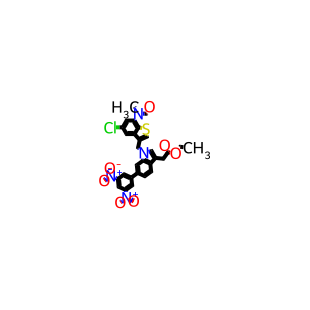 CCOC(=O)Cc1cn(Cc2csc3c(N(C)C=O)cc(Cl)cc23)c2cc(-c3cc([N+](=O)[O-])cc([N+](=O)[O-])c3)ccc12